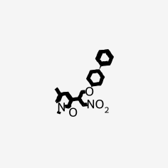 Cc1cc(C(CO[C@H]2CC[C@@H](c3ccccc3)CC2)C[N+](=O)[O-])c(=O)n(C)c1